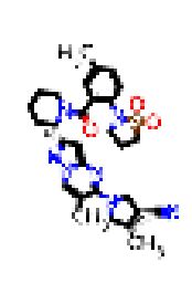 Cc1ccc(N2CCCS2(=O)=O)c(C(=O)N2CCCC[C@H]2c2cc3nc(N4C[C@@H](C#N)[C@@H](C)C4)c(C)cn3n2)c1